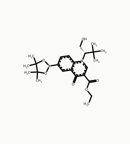 CCOC(=O)c1cn([C@H](CO)C(C)(C)C)c2ccc(B3OC(C)(C)C(C)(C)O3)cc2c1=O